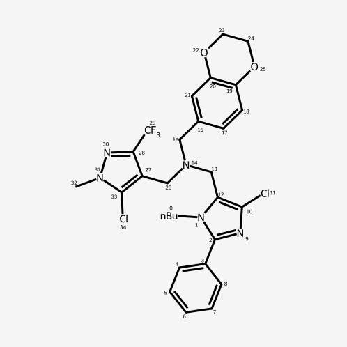 CCCCn1c(-c2ccccc2)nc(Cl)c1CN(Cc1ccc2c(c1)OCCO2)Cc1c(C(F)(F)F)nn(C)c1Cl